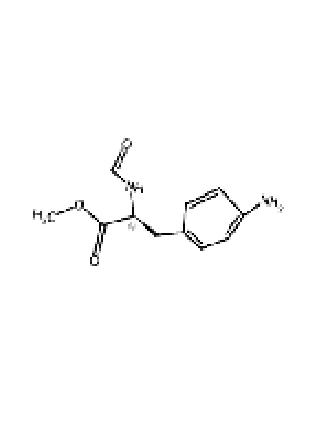 COC(=O)[C@H](Cc1ccc(N)cc1)NC=O